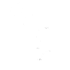 NC(CC(=O)Nc1ncc[nH]1)c1ccc(-c2ccccc2)cc1